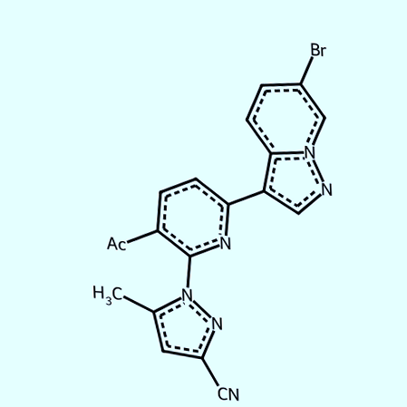 CC(=O)c1ccc(-c2cnn3cc(Br)ccc23)nc1-n1nc(C#N)cc1C